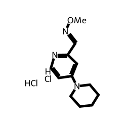 CO/N=C/c1cc(N2CCCCC2)ccn1.Cl.Cl